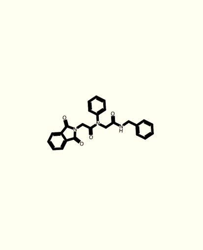 O=C(CN(C(=O)CN1C(=O)c2ccccc2C1=O)c1ccccc1)NCc1ccccc1